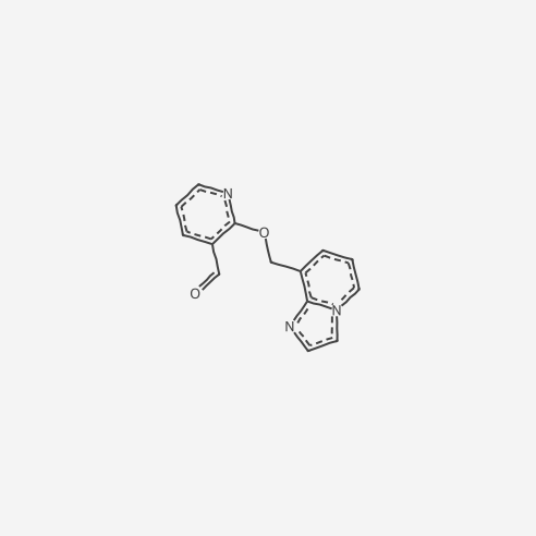 O=Cc1cccnc1OCc1cccn2ccnc12